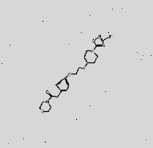 CC(C)c1noc(N2CCC(SCCOc3ccc(CC(=O)N4CCOCC4)cc3)CC2)n1